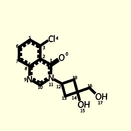 O=c1c2c(Cl)cccc2ncn1C1CC(O)(CO)C1